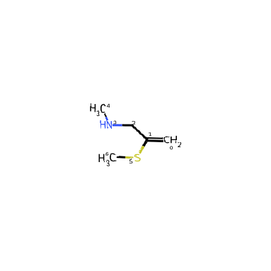 C=C(CNC)SC